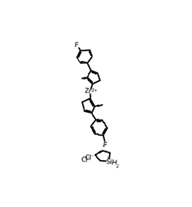 C1CC[SiH2]C1.CC1=[C]([Zr+2][C]2=C(C)C(c3ccc(F)cc3)=CC2)CC=C1c1ccc(F)cc1.[Cl-].[Cl-]